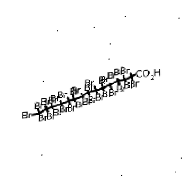 O=C(O)C(Br)(Br)C(Br)(Br)C(Br)(Br)C(Br)(Br)C(Br)(Br)C(Br)(Br)C(Br)(Br)C(Br)(Br)C(Br)(Br)C(Br)(Br)C(Br)(Br)C(Br)(Br)C(Br)(Br)C(Br)(Br)Br